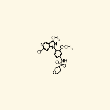 COc1cc(NS(=O)(=O)C2CCOC2)ccc1-n1nc(C)c2cnc(Cl)cc21